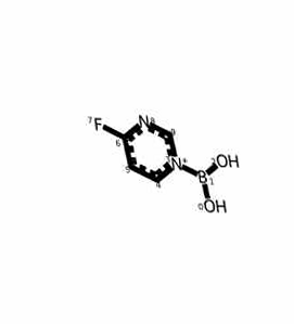 OB(O)[n+]1ccc(F)nc1